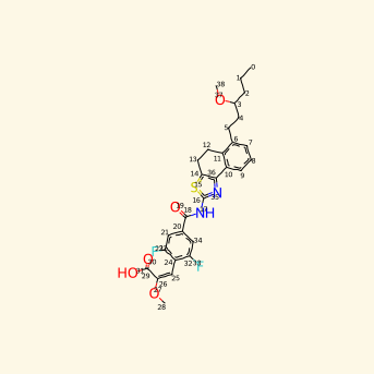 CCCC(CCc1cccc2c1CCc1sc(NC(=O)c3cc(F)c(/C=C(/OC)C(=O)O)c(F)c3)nc1-2)OC